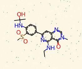 CCNc1nc(-c2ccc(NC(C)(C)O)c(S(C)(=O)=O)c2)cc2ncn(C)c(=O)c12